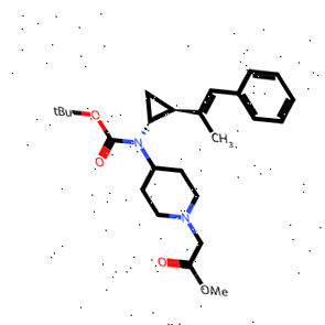 COC(=O)CN1CCC(N(C(=O)OC(C)(C)C)[C@@H]2C[C@H]2/C(C)=C/c2ccccc2)CC1